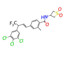 Cc1cc(/C=C/C(c2cc(Cl)c(Cl)c(Cl)c2)C(F)(F)F)ccc1C(=O)NC1CS(=O)(=O)C1